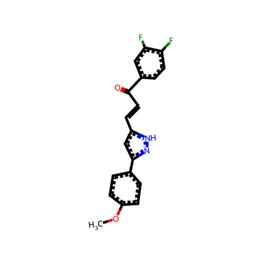 COc1ccc(-c2cc(/C=C/C(=O)c3ccc(F)c(F)c3)[nH]n2)cc1